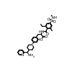 CCc1cc(S(=O)(=O)NC)cc(C)c1C(=O)NC(Cc1ccc(N2CCC(C(N)c3ccccn3)CC2)cc1)C(=O)O